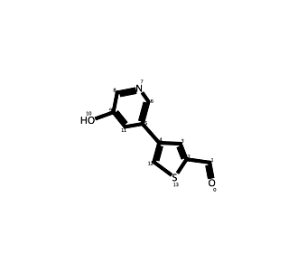 O=Cc1cc(-c2cncc(O)c2)cs1